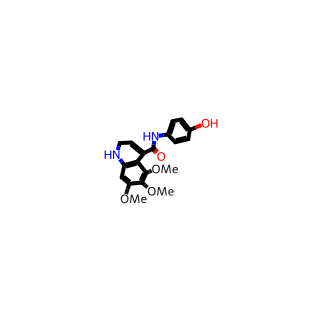 COc1cc2c(c(OC)c1OC)C(C(=O)Nc1ccc(O)cc1)=CCN2